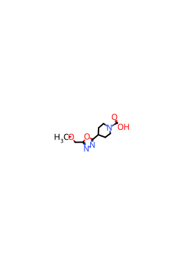 COCc1nnc(C2CCN(C(=O)O)CC2)o1